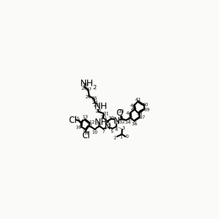 CC(C)C[C@@H]1CN(C[C@H](N)Cc2ccc(Cl)cc2Cl)[C@@H](CCCNCCCCCN)CN1C(=O)Cc1ccc2ccccc2c1